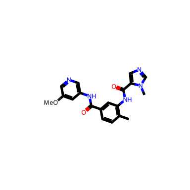 COc1cncc(NC(=O)c2ccc(C)c(NC(=O)c3cncn3C)c2)c1